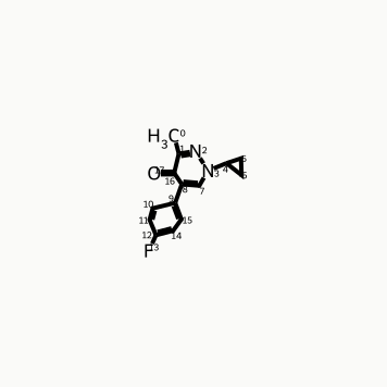 Cc1nn(C2CC2)cc(-c2ccc(F)cc2)c1=O